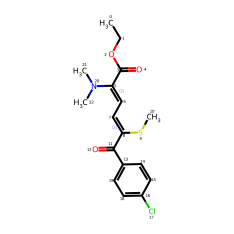 CCOC(=O)/C(=C/C=C(\SC)C(=O)c1ccc(Cl)cc1)N(C)C